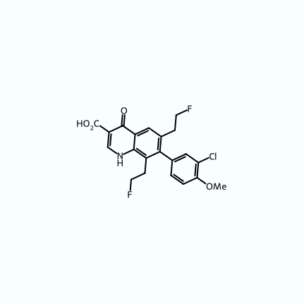 COc1ccc(-c2c(CCF)cc3c(=O)c(C(=O)O)c[nH]c3c2CCF)cc1Cl